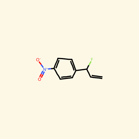 C=CC(F)c1ccc([N+](=O)[O-])cc1